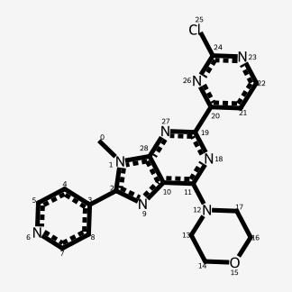 Cn1c(-c2ccncc2)nc2c(N3CCOCC3)nc(-c3ccnc(Cl)n3)nc21